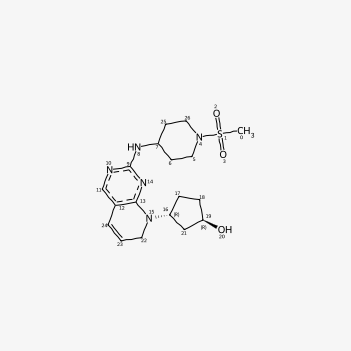 CS(=O)(=O)N1CCC(Nc2ncc3c(n2)N([C@@H]2CC[C@@H](O)C2)CC=C3)CC1